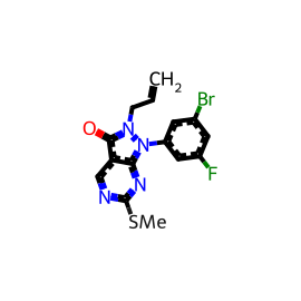 C=CCn1c(=O)c2cnc(SC)nc2n1-c1cc(F)cc(Br)c1